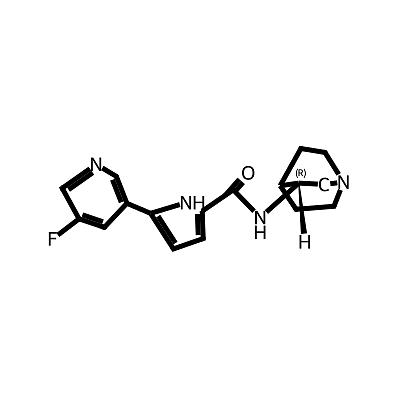 O=C(N[C@H]1CN2CCC1CC2)c1ccc(-c2cncc(F)c2)[nH]1